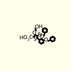 O=C(O)c1sc(-c2cccc(OCc3ccccc3)c2OCc2ccccc2)c(Br)c1OCCO